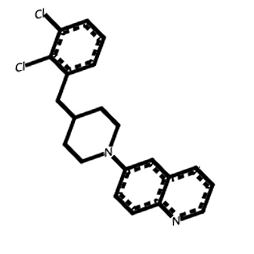 Clc1cccc(CC2CCN(c3ccc4ncc[c]c4c3)CC2)c1Cl